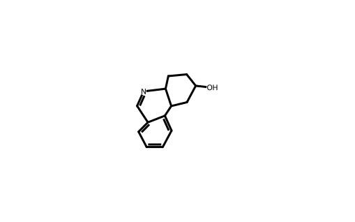 OC1CCC2N=Cc3ccccc3C2C1